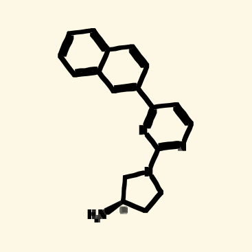 N[C@@H]1CCN(c2nccc(-c3ccc4ccccc4c3)n2)C1